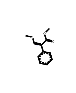 COC(=O)/C(=C\SC)c1ccccc1